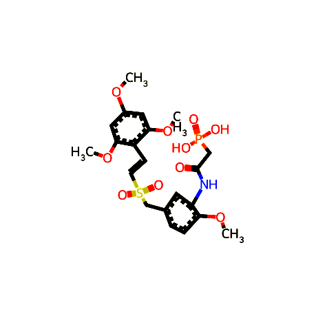 COc1cc(OC)c(C=CS(=O)(=O)Cc2ccc(OC)c(NC(=O)CP(=O)(O)O)c2)c(OC)c1